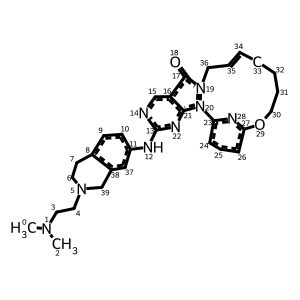 CN(C)CCN1CCc2ccc(Nc3ncc4c(=O)n5n(c4n3)-c3cccc(n3)OCCCC/C=C/C5)cc2C1